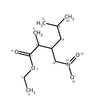 CCOC(=O)C(C)C(CC(C)C)C[N+](=O)[O-]